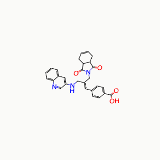 O=C(O)c1ccc(C=C(CNc2cnc3ccccc3c2)CN2C(=O)C3CC=CCC3C2=O)cc1